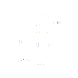 COc1ccnc(C(=O)N[C@H](C(=O)O[C@@H](C)[C@H](Oc2ccccc2)C(C)C)C(C)C)c1OCOC(C)=O